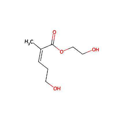 CC(=CCCO)C(=O)OCCO